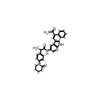 CC(C(=O)Nc1cnc2[nH]cc(/C=C(/C(N)=O)c3ccccc3)c2c1)c1ccc(N2CCCCC2=O)cc1